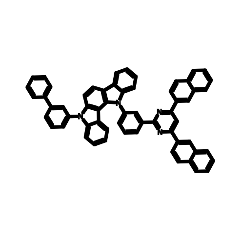 c1ccc(-c2cccc(-n3c4ccccc4c4c3ccc3c5ccccc5n(-c5cccc(-c6nc(-c7ccc8ccccc8c7)cc(-c7ccc8ccccc8c7)n6)c5)c34)c2)cc1